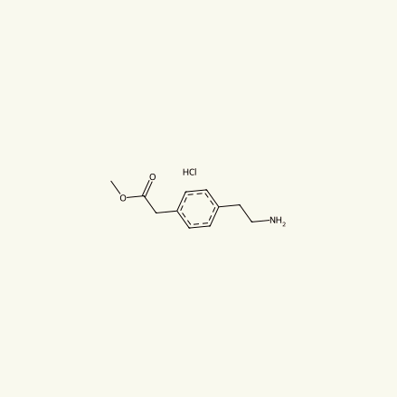 COC(=O)Cc1ccc(CCN)cc1.Cl